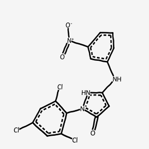 O=c1cc(Nc2cccc([N+](=O)[O-])c2)[nH]n1-c1c(Cl)cc(Cl)cc1Cl